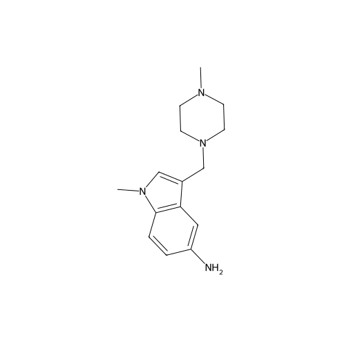 CN1CCN(Cc2cn(C)c3ccc(N)cc23)CC1